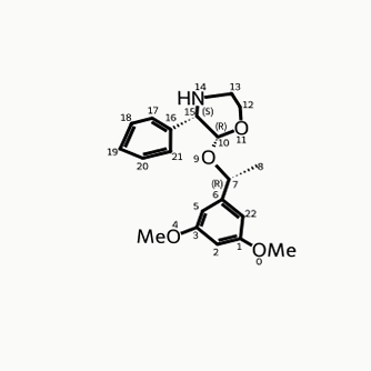 COc1cc(OC)cc([C@@H](C)O[C@H]2OCCN[C@H]2c2ccccc2)c1